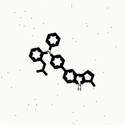 CC(C)Cc1ccccc1N(c1ccccc1)c1ccc(-c2ccc3[nH]c4c(c3c2)C=CC4C)cc1